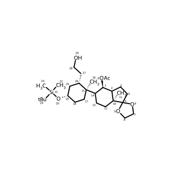 CC(=O)O[C@H]1C2CCC3(OCCO3)[C@@]2(C)CCC1[C@@]1(C)CC[C@H](O[Si](C)(C)C(C)(C)C)C[C@@H]1CCO